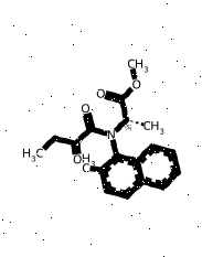 CCC(=O)C(=O)N(c1c(C)ccc2ccccc12)[C@@H](C)C(=O)OC